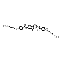 CC1c2cc(OC(=O)c3ccc(OCCCCCCO)cc3)ccc2-c2ccc(OC(=O)c3ccc(OCCCCCCO)cc3)cc21